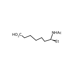 CC[C@@H](CCCCCC(=O)O)NC(C)=O